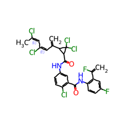 C=C(F)c1cc(F)ccc1NC(=O)c1cc(NC(=O)C2C(C(=C)/C=C(Cl)\C=C(/C)Cl)C2(Cl)Cl)ccc1Cl